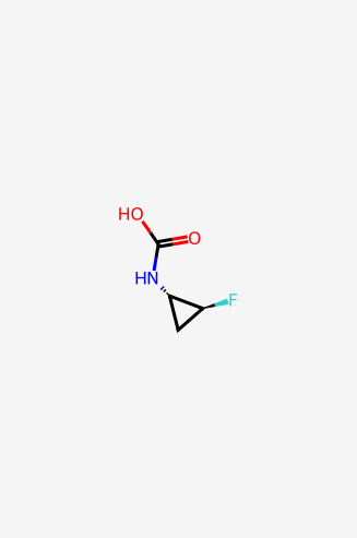 O=C(O)N[C@H]1C[C@@H]1F